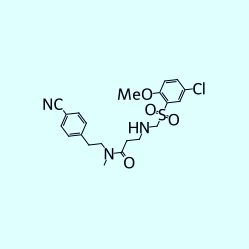 COc1ccc(Cl)cc1S(=O)(=O)CNCCC(=O)N(C)CCc1ccc(C#N)cc1